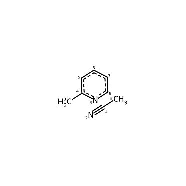 CC#N.Cc1ccccn1